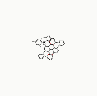 Cc1cc(C)c(B(c2c(C)cccc2C)c2cc(-c3ccccc3-c3ccccc3)c3ccc4ccc(-c5ccccc5-c5ccccc5)c5ccc2c3c45)c(C)c1